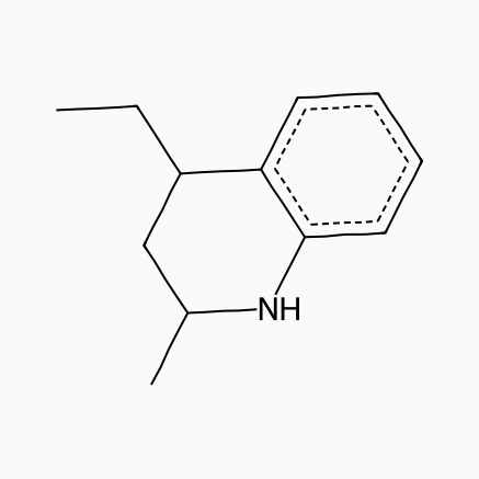 CCC1CC(C)Nc2ccccc21